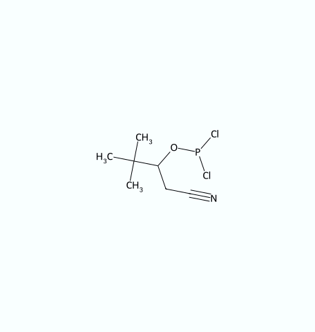 CC(C)(C)C(CC#N)OP(Cl)Cl